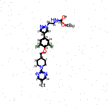 CCc1cnc(N2CCC(COc3c(F)cc(-c4cnn(CCNC(=O)OC(C)(C)C)c4)cc3F)CC2)nc1